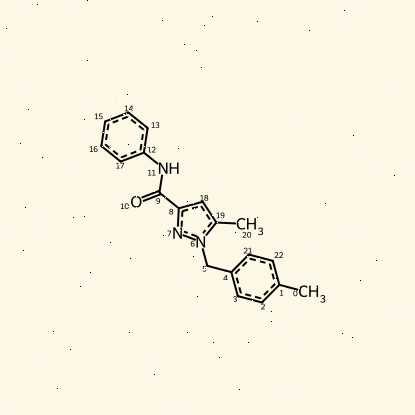 Cc1ccc(Cn2nc(C(=O)Nc3ccccc3)cc2C)cc1